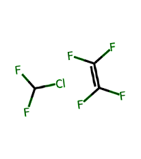 FC(F)=C(F)F.FC(F)Cl